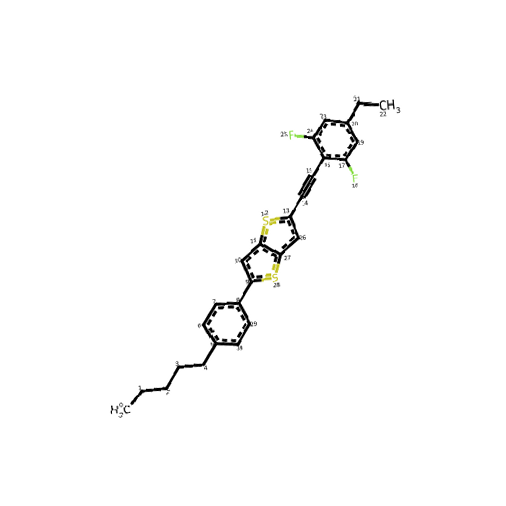 CCCCCc1ccc(-c2cc3sc(C#Cc4c(F)cc(CC)cc4F)cc3s2)cc1